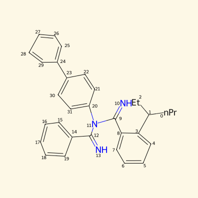 CCCC(CC)c1ccccc1C(=N)N(C(=N)c1ccccc1)c1ccc(-c2ccccc2)cc1